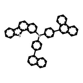 c1ccc2c(-c3ccc(N(c4ccc(-c5cc6ccccc6c6ccccc56)cc4)c4ccc5ccc6c7ccccc7sc6c5c4)cc3)cccc2c1